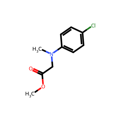 COC(=O)CN(C)c1ccc(Cl)cc1